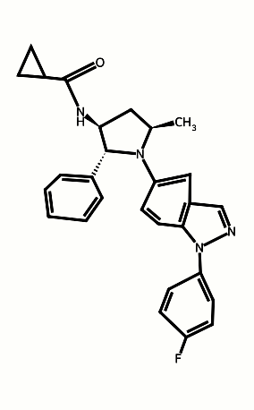 C[C@@H]1C[C@H](NC(=O)C2CC2)[C@@H](c2ccccc2)N1c1ccc2c(cnn2-c2ccc(F)cc2)c1